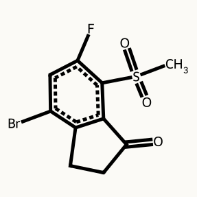 CS(=O)(=O)c1c(F)cc(Br)c2c1C(=O)CC2